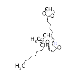 CCCCCCCC[C@@]1(O[Si](C)(C)C)C=CC(=O)/C1=C/CCCCCC(=O)OC